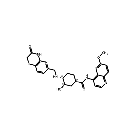 COc1ccc2nccc(NC(=O)[C@@H]3CC[C@@H](NCc4ccc5c(n4)NC(=O)CO5)[C@H](O)C3)c2n1